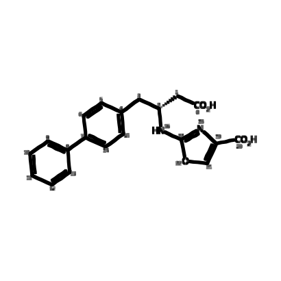 O=C(O)C[C@@H](Cc1ccc(-c2ccccc2)cc1)Nc1nc(C(=O)O)co1